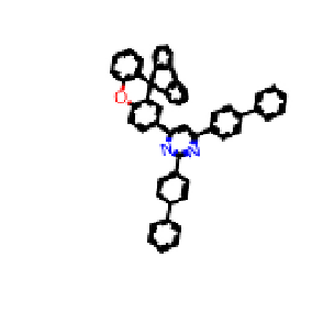 C1=CC(c2ccccc2)CC=C1c1nc(-c2ccc(-c3ccccc3)cc2)cc(-c2ccc3c(c2)C2(c4ccccc4O3)c3ccccc3-c3ccccc32)n1